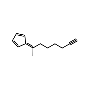 C#CCCCCC(C)=C1C=CC=C1